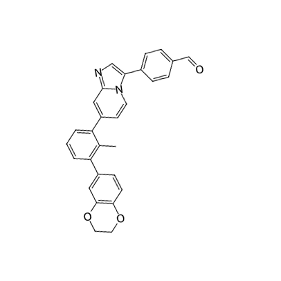 Cc1c(-c2ccc3c(c2)OCCO3)cccc1-c1ccn2c(-c3ccc(C=O)cc3)cnc2c1